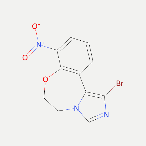 O=[N+]([O-])c1cccc2c1OCCn1cnc(Br)c1-2